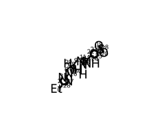 CCc1cnc(N2C[C@@H]3C(CN4CC(c5ccc(S(C)(=O)=O)cc5)NN4)[C@@H]3C2)nc1